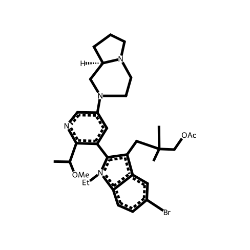 CCn1c(-c2cc(N3CCN4CCC[C@@H]4C3)cnc2C(C)OC)c(CC(C)(C)COC(C)=O)c2cc(Br)ccc21